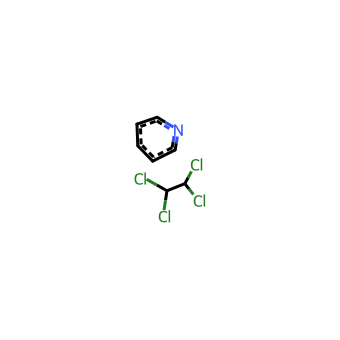 ClC(Cl)C(Cl)Cl.c1ccncc1